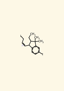 CCC1C(/C=C\CI)c2ccc(I)cc2C1(C)C